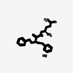 CC(C)C(N)CC[C@H](N)CNC(=O)C(CCc1ccccc1)CCc1ccccc1.Cl